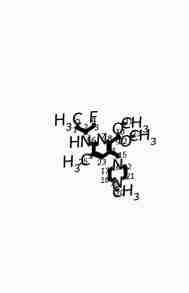 CCC(CF)Nc1nc(C(OC)OC)c(CN2CCN(C)CC2)cc1C